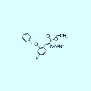 CCOC(=O)C(=Cc1ccc(F)cc1OCc1ccccc1)N=[N+]=[N-]